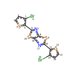 Brc1ccsc1-c1nc2sc(-c3sccc3Br)nc2s1